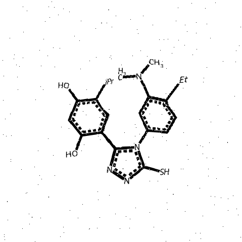 CCc1ccc(-n2c(S)nnc2-c2cc(C(C)C)c(O)cc2O)cc1N(C)C